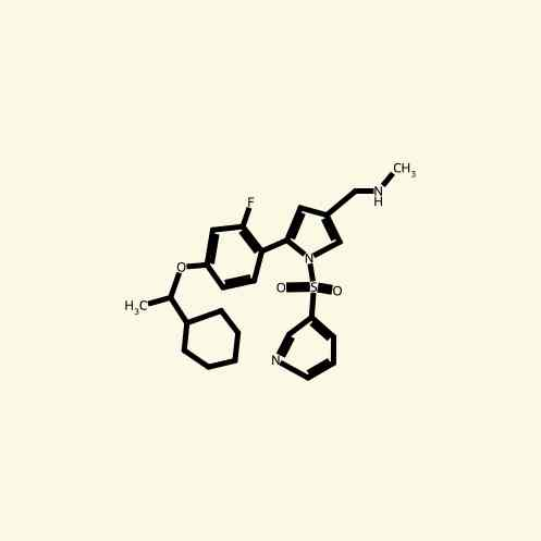 CNCc1cc(-c2ccc(OC(C)C3CCCCC3)cc2F)n(S(=O)(=O)c2cccnc2)c1